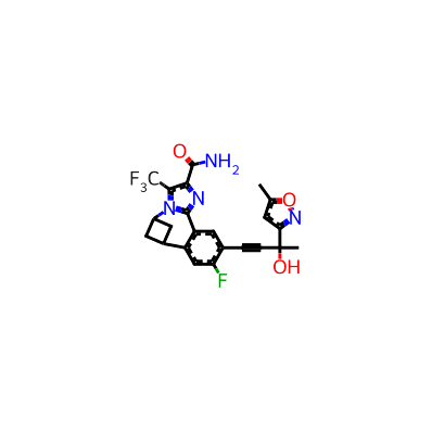 Cc1cc(C(C)(O)C#Cc2cc3c(cc2F)C2CC(C2)n2c-3nc(C(N)=O)c2C(F)(F)F)no1